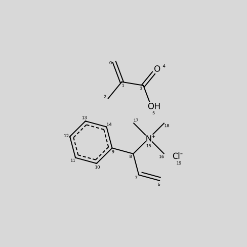 C=C(C)C(=O)O.C=CC(c1ccccc1)[N+](C)(C)C.[Cl-]